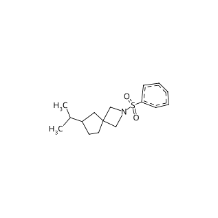 CC(C)C1CCC2(C1)CN(S(=O)(=O)c1ccccc1)C2